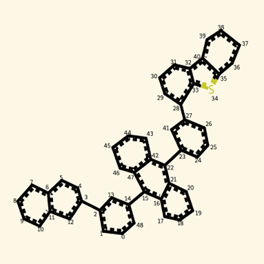 c1cc(-c2ccc3ccccc3c2)cc(-c2c3ccccc3c(-c3cccc(-c4cccc5c4sc4ccccc45)c3)c3ccccc23)c1